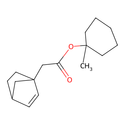 CC1(OC(=O)CC23C=CC(CC2)C3)CCCCC1